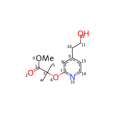 COC(=O)C(C)(C)Oc1cc(CCO)ccn1